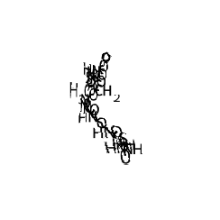 C=C(OCc1cn(CC(=O)NCCOCCNC(=O)C[C@@H]2SC[C@@H]3NC(=O)N[C@@H]32)nn1)C1=C(C)CS[C@@H]2[C@H](NC(=O)COc3ccccc3)C(=O)N12